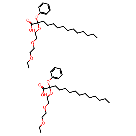 CCCCCCCCCCCCC(OCCOCCOCC)(Oc1ccccc1)C(=O)O.CCCCCCCCCCCCC(OCCOCCOCC)(Oc1ccccc1)C(=O)O